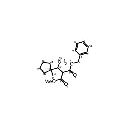 COC(=O)C(C(=O)OCc1ccccc1)C(N)C1(C)CCCC1